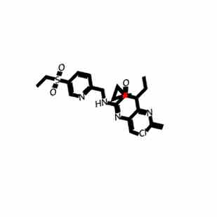 C=C(Cl)\N=C(C(=C\C)/N=C(/NCc1ccc(S(=O)(=O)CC)cn1)C(C)=O)\C(CC)C1CC1